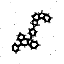 c1ccc(-c2cc3c4ccccc4n(-c4ccc(-c5nc6c(ccc7sc8ccccc8c76)o5)cc4)c3c3ccccc23)cc1